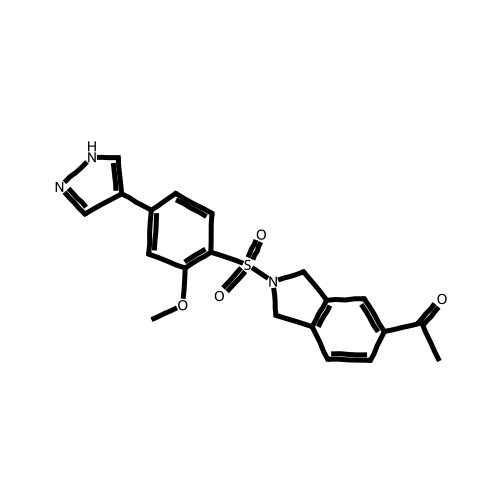 COc1cc(-c2cn[nH]c2)ccc1S(=O)(=O)N1Cc2ccc(C(C)=O)cc2C1